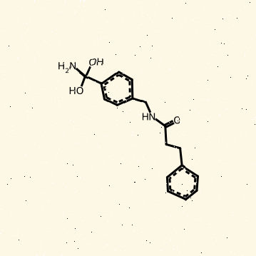 NC(O)(O)c1ccc(CNC(=O)CCc2ccccc2)cc1